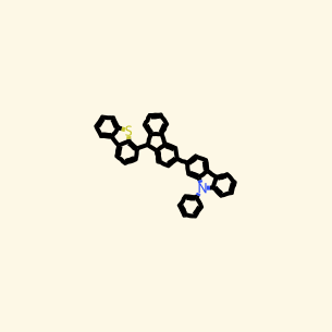 c1ccc(-n2c3ccccc3c3ccc(-c4ccc5c(c4)-c4ccccc4C5c4cccc5c4sc4ccccc45)cc32)cc1